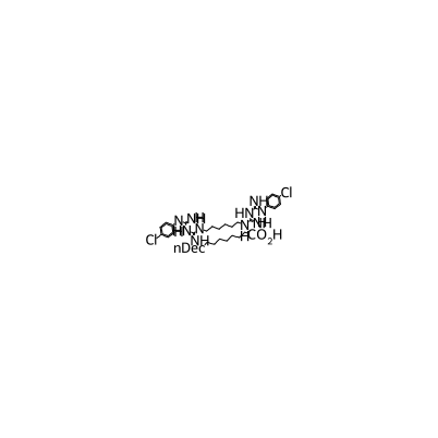 CCCCCCCCCCCCCCCCCC(=O)O.N=C(NCCCCCCNC(=N)NC(=N)Nc1ccc(Cl)cc1)NC(=N)Nc1ccc(Cl)cc1